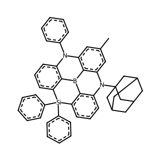 Cc1cc2c3c(c1)N(C14CC5CC(CC(C5)C1)C4)c1cccc4c1B3c1c(cccc1[Si]4(c1ccccc1)c1ccccc1)N2c1ccccc1